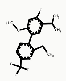 CCc1nc(C(F)(F)F)ccc1-c1cc(C(C)C)c(F)cc1OC